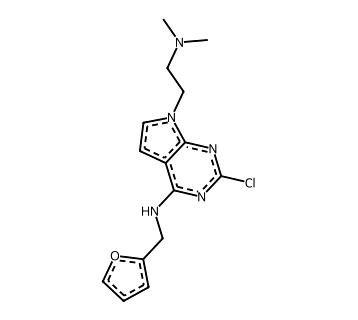 CN(C)CCn1ccc2c(NCc3ccco3)nc(Cl)nc21